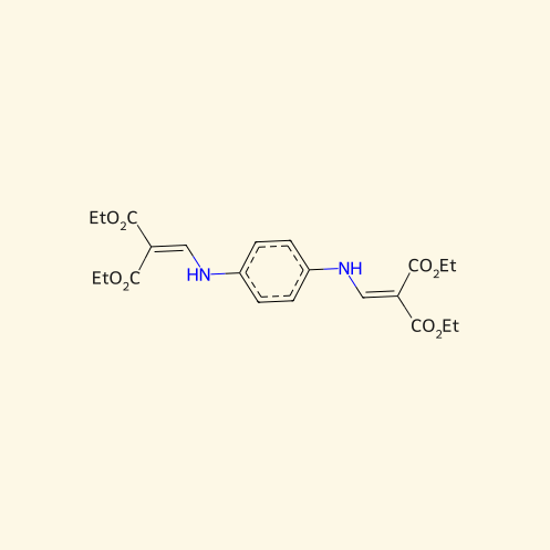 CCOC(=O)C(=CNc1ccc(NC=C(C(=O)OCC)C(=O)OCC)cc1)C(=O)OCC